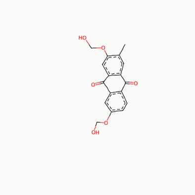 Cc1cc2c(cc1OCO)C(=O)c1cc(OCO)ccc1C2=O